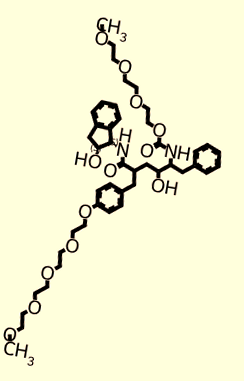 COCCOCCOCCOCCOc1ccc(CC(CC(O)C(Cc2ccccc2)NC(=O)OCCOCCOCCOC)C(=O)N[C@H]2c3ccccc3C[C@@H]2O)cc1